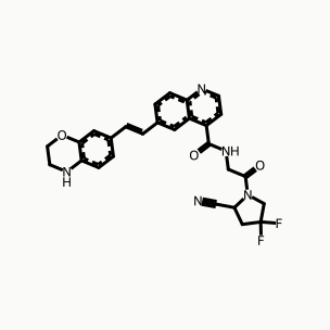 N#CC1CC(F)(F)CN1C(=O)CNC(=O)c1ccnc2ccc(C=Cc3ccc4c(c3)OCCN4)cc12